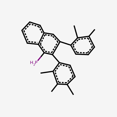 Cc1cccc(-c2cc3ccccc3c(P)c2-c2ccc(C)c(C)c2C)c1C